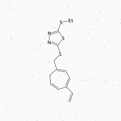 C=CC1=CC=C(CSc2nnc(SCC)s2)CC=C1